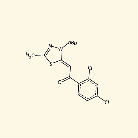 CCCCN1N=C(C)S/C1=C\C(=O)c1ccc(Cl)cc1Cl